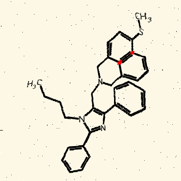 CCCCn1c(-c2ccccc2)nc(-c2ccccc2)c1CN(Cc1ccccc1)Cc1ccc(SC)cc1